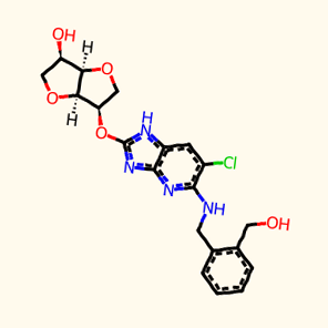 OCc1ccccc1CNc1nc2nc(O[C@@H]3CO[C@H]4[C@@H]3OC[C@H]4O)[nH]c2cc1Cl